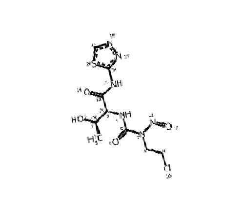 C[C@@H](O)[C@H](NC(=O)N(CCCl)N=O)C(=O)Nc1nncs1